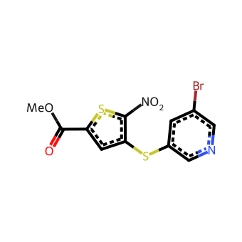 COC(=O)c1cc(Sc2cncc(Br)c2)c([N+](=O)[O-])s1